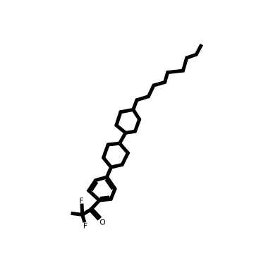 CCCCCCCCCC1CCC(C2CCC(c3ccc(C(=O)C(C)(F)F)cc3)CC2)CC1